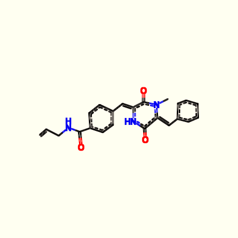 C=CCNC(=O)c1ccc(/C=c2\[nH]c(=O)/c(=C/c3ccccc3)n(C)c2=O)cc1